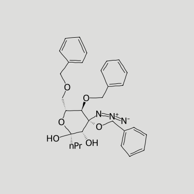 CCC[C@]1(O)O[C@H](COCc2ccccc2)[C@@H](OCc2ccccc2)[C@](N=[N+]=[N-])(OCc2ccccc2)[C@@H]1O